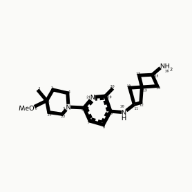 COC1(C)CCN(c2ccc(NC3CC4(CC(N)C4)C3)c(C)n2)CC1